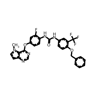 Cn1ccc2ncnc(Oc3ccc(NC(=O)Nc4ccc(OCc5ccccc5)c(C(F)(F)F)c4)c(F)c3)c21